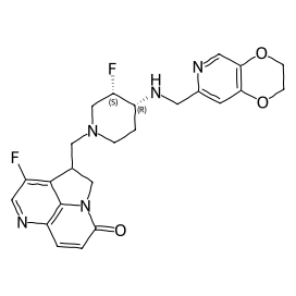 O=c1ccc2ncc(F)c3c2n1CC3CN1CC[C@@H](NCc2cc3c(cn2)OCCO3)[C@@H](F)C1